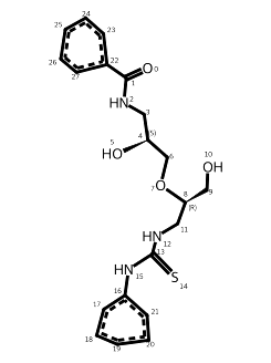 O=C(NC[C@H](O)CO[C@@H](CO)CNC(=S)Nc1ccccc1)c1ccccc1